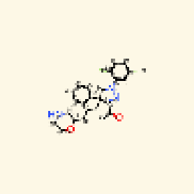 CC(=O)C1=NN(c2cc(F)ccc2F)CC1(CCCC1CNCCO1)c1ccccc1